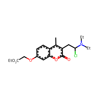 CCOC(=O)COc1ccc2c(C)c(CC(Cl)N(CC)CC)c(=O)oc2c1